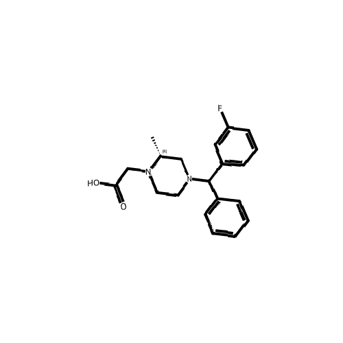 C[C@@H]1CN(C(c2ccccc2)c2cccc(F)c2)CCN1CC(=O)O